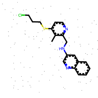 Cc1c(SCCCCl)ccnc1CNc1cnc2ccccc2c1